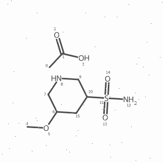 CC(=O)O.COC1CNCC(S(N)(=O)=O)C1